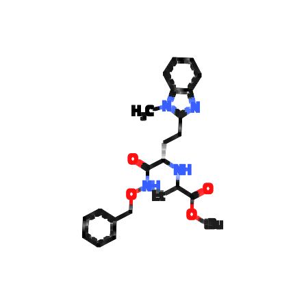 CCC(N[C@@H](CCc1nc2ccccc2n1C)C(=O)NOCc1ccccc1)C(=O)OC(C)(C)C